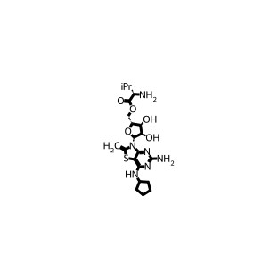 C=C1Sc2c(NC3CCCC3)nc(N)nc2N1[C@@H]1O[C@H](COC(=O)[C@@H](N)C(C)C)[C@@H](O)[C@H]1O